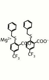 O=C([O-])c1cc(C(F)(F)F)ccc1SCc1ccccc1.O=C([O-])c1cc(C(F)(F)F)ccc1SCc1ccccc1.[Mg+2]